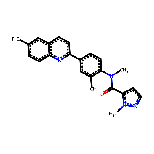 Cc1cc(-c2ccc3cc(C(F)(F)F)ccc3n2)ccc1N(C)C(=O)c1ccnn1C